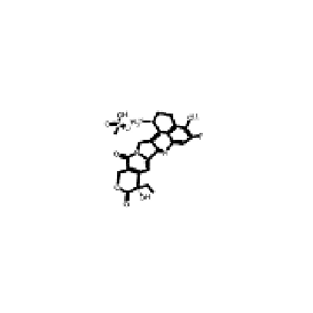 CC[C@@]1(O)C(=O)OCc2c1cc1n(c2=O)Cc2c-1nc1cc(F)c(O)c3c1c2[C@@H](N)CC3.CS(=O)(=O)O